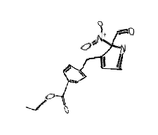 CCOC(=O)c1ccc(CC2=CC=NC2(C=O)[N+](=O)[O-])cc1